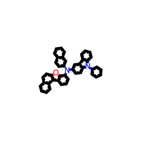 c1ccc(-n2c3ccccc3c3cc(N(c4ccc5ccccc5c4)c4cccc5c4oc4ccc6ccccc6c45)ccc32)cc1